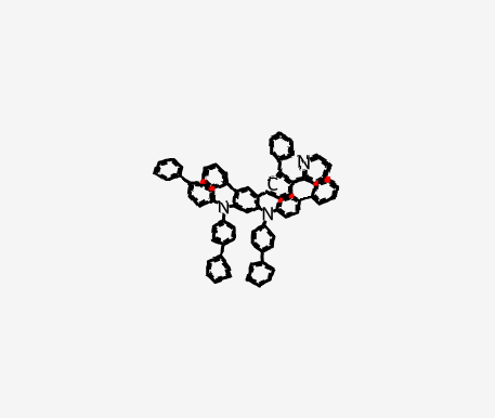 c1ccc(-c2ccc(N(c3ccc(-c4ccccc4)cc3)c3cc(N(c4ccc(-c5ccccc5)cc4)c4ccc(-c5ccccc5)cc4)c(-c4ccc(-c5ccccn5)c(-c5ccccc5)c4)cc3-c3ccccc3)cc2)cc1